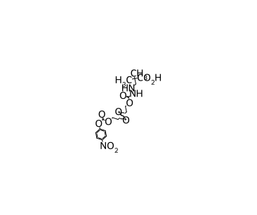 CC(C)(CNNC(=O)OCCS(=O)(=O)CCOC(=O)Oc1ccc([N+](=O)[O-])cc1)C(=O)O